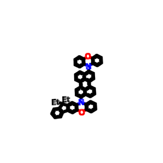 CCC1(CC)c2ccccc2-c2cc3c(cc21)N(c1ccc2c4cccc5c(N6c7ccccc7Oc7ccccc76)ccc(c6cccc1c62)c54)c1ccccc1O3